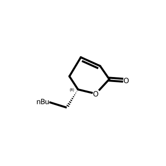 CCCCC[C@@H]1CC=CC(=O)O1